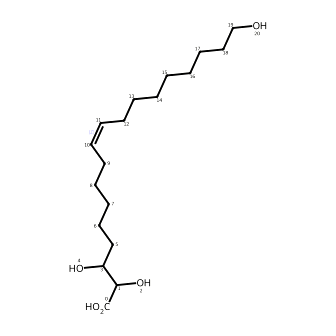 O=C(O)C(O)C(O)CCCCC/C=C\CCCCCCCCO